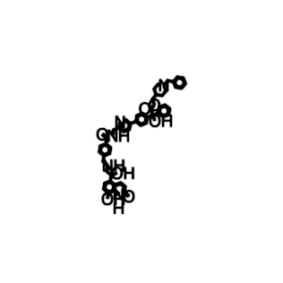 O=C(NCc1ccc(-c2ccc(C(O)(C(=O)OCC3CCN(Cc4ccccc4)CC3)c3ccccc3)cc2)cn1)c1ccc(CNCC(O)c2ccc(O)c3[nH]c(=O)ccc23)cc1